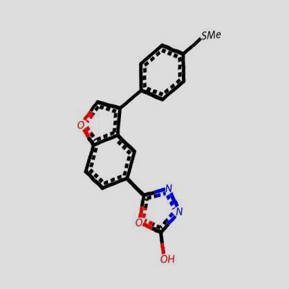 CSc1ccc(-c2coc3ccc(-c4nnc(O)o4)cc23)cc1